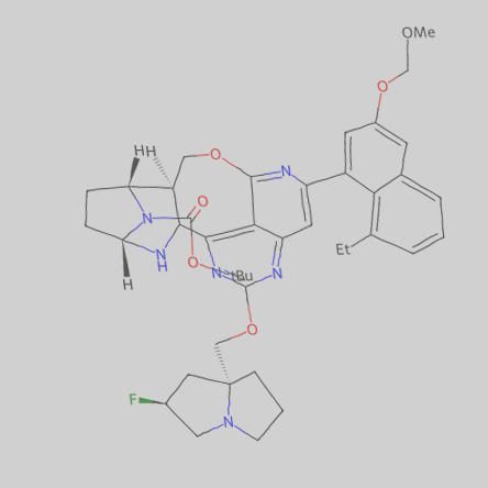 CCc1cccc2cc(OCOC)cc(-c3cc4nc(OC[C@]56CCCN5C[C@@H](F)C6)nc5c4c(n3)OC[C@H]3C5N[C@@H]4CC[C@H]3N4C(=O)OC(C)(C)C)c12